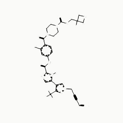 C=CC#CCn1cc(-c2cnc(C(=O)Nc3ccc(C(=O)N4CCN(C(=O)NCC5(O)CNC5)CC4)c(Cl)c3)n2C)c(C(F)(F)F)n1